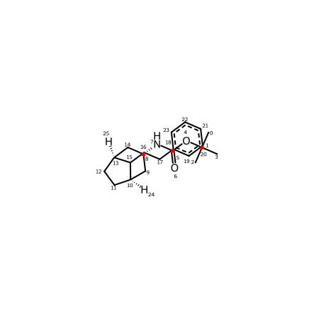 CC(C)(C)OC(=O)N[C@@H]1C[C@H]2CC[C@@H](C1)C2CCc1ccccc1